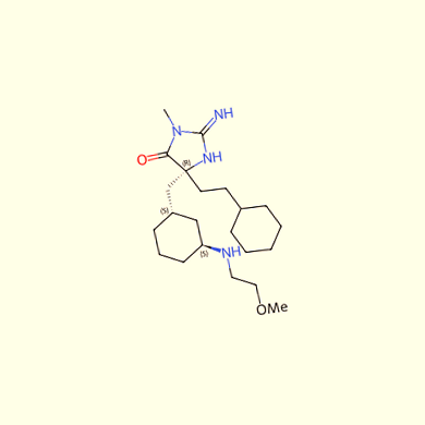 COCCN[C@H]1CCC[C@H](C[C@@]2(CCC3CCCCC3)NC(=N)N(C)C2=O)C1